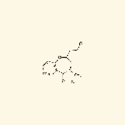 CN1CC(CCCl)Oc2ccncc2C1=O.Cl